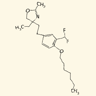 CCCCCCCOc1ccc(CCC2(CC)COC(C)=N2)cc1C(F)F